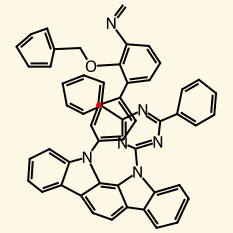 C=Nc1cccc(-c2ccc(-n3c4ccccc4c4ccc5c6ccccc6n(-c6nc(-c7ccccc7)nc(-c7ccccc7)n6)c5c43)cc2)c1OCc1ccccc1